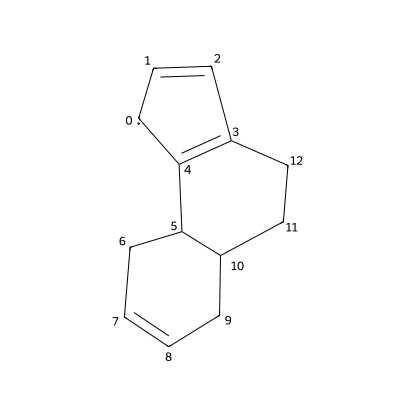 [CH]1C=CC2=C1C1CC=CCC1CC2